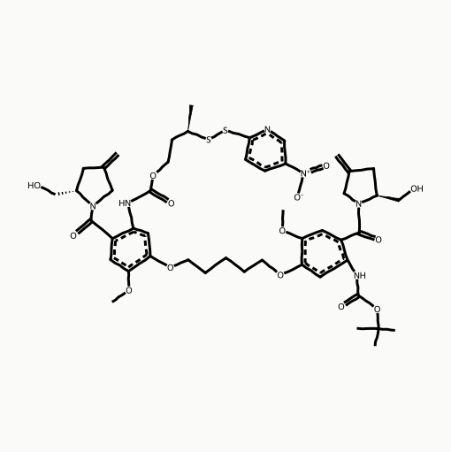 C=C1C[C@@H](CO)N(C(=O)c2cc(OC)c(OCCCCCOc3cc(NC(=O)OC(C)(C)C)c(C(=O)N4CC(=C)C[C@H]4CO)cc3OC)cc2NC(=O)OCC[C@@H](C)SSc2ccc([N+](=O)[O-])cn2)C1